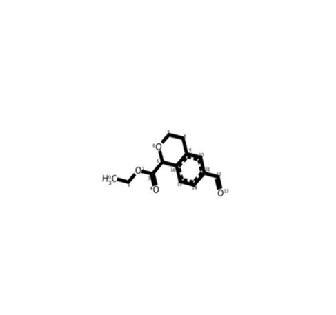 CCOC(=O)C1OCCc2cc(C=O)ccc21